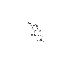 CN1CCC(Nc2cncc(C(C)(C)C)c2)[C@H](F)C1